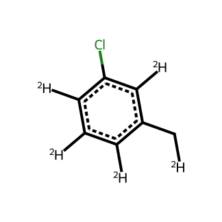 [2H]Cc1c([2H])c([2H])c([2H])c(Cl)c1[2H]